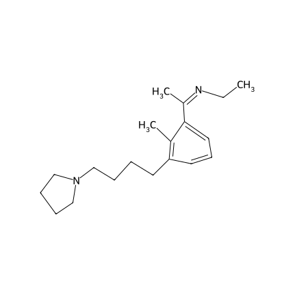 CC/N=C(/C)c1cccc(CCCCN2CCCC2)c1C